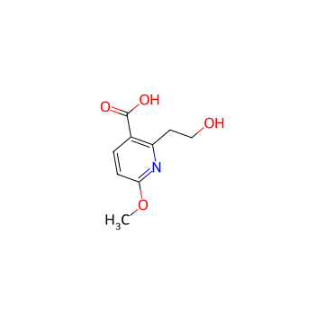 COc1ccc(C(=O)O)c(CCO)n1